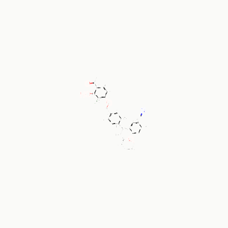 CC(=O)c1ccc(OCc2ccc(C(CC3CCCCO3)c3cccc(C#N)c3)cc2)c(F)c1O